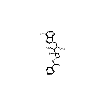 CC[C@]1(C(OC(C)=O)[C@@H](Cn2cnc3c(Cl)ncnc32)OC(C)=O)CC[C@@H]1OC(=O)c1ccccc1